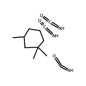 CC1CCCC(C)(C)C1.N=C=O.N=C=O.N=C=O